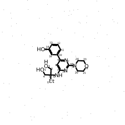 CCC(CO)(CO)Nc1cc(-c2cccc(O)c2)nc(N2CCOCC2)n1